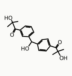 CC(C)(O)C(=O)c1ccc(C(O)c2cccc(C(=O)C(C)(C)O)c2)cc1